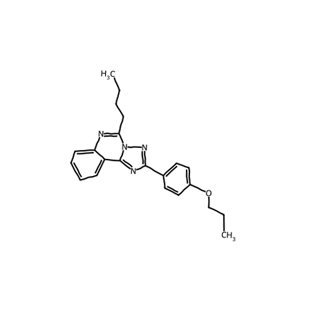 CCCCc1nc2ccccc2c2nc(-c3ccc(OCCC)cc3)nn12